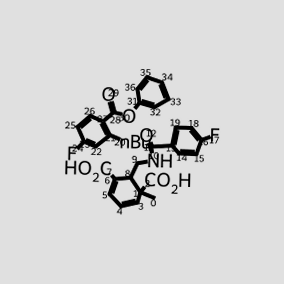 CC1(C(=O)O)C=CC=C(C(=O)O)C1CNC(=O)c1ccc(F)cc1.CCCCc1cc(F)ccc1C(=O)Oc1ccccc1